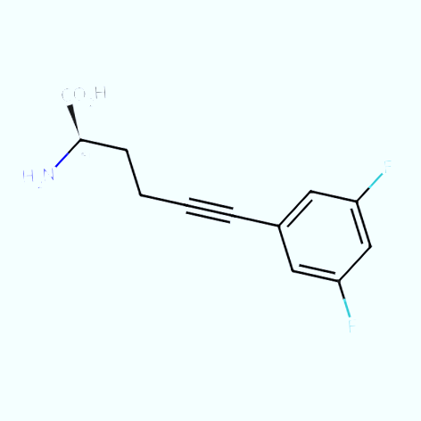 N[C@H](CCC#Cc1cc(F)cc(F)c1)C(=O)O